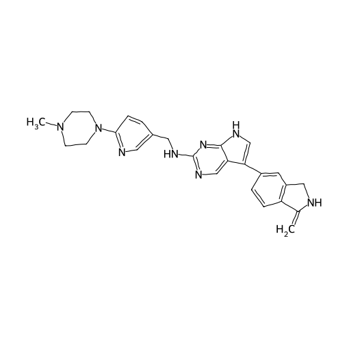 C=C1NCc2cc(-c3c[nH]c4nc(NCc5ccc(N6CCN(C)CC6)nc5)ncc34)ccc21